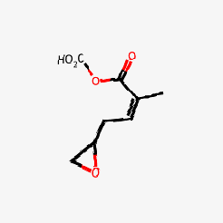 CC(=CCC1CO1)C(=O)OC(=O)O